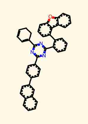 C1=CCCC(c2nc(-c3ccc(-c4ccc5ccccc5c4)cc3)nc(-c3ccccc3-c3cccc4oc5ccccc5c34)n2)=C1